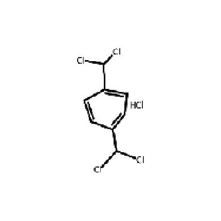 Cl.ClC(Cl)c1ccc(C(Cl)Cl)cc1